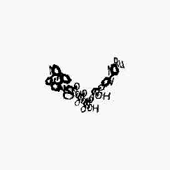 O=C1CCC(=O)N1O.O=C1CCC(=O)N1O.O=C1CCC(=O)N1O.O=C1CCC(=O)N1O.[Ru].c1ccc(-c2ccccn2)nc1.c1ccc(-c2ccccn2)nc1.c1ccc(-c2ccccn2)nc1